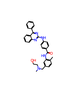 Cc1ccc(CN(C)CCO)cc1NC(=O)c1ccc(Nc2nc(-c3ccccc3)c3ccccc3n2)cc1